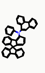 c1ccc(N(c2cccc3c2-c2ccccc2C32c3ccccc3-c3ccccc32)c2cc3ccccc3c3ccccc23)cc1